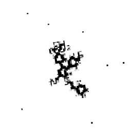 CS(=O)(=O)c1ccc(-c2cc(C#N)c(SCCc3ccccc3)nc2-c2ccc(F)cc2)cc1